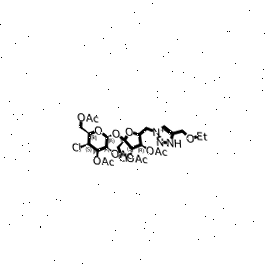 CCOCc1c[n+](CC2O[C@@](CCl)(O[C@H]3O[C@H](COC(C)=O)[C@H](Cl)[C@H](OC(C)=O)[C@H]3OC(C)=O)[C@@H](OC(C)=O)[C@@H]2OC(C)=O)n[nH]1